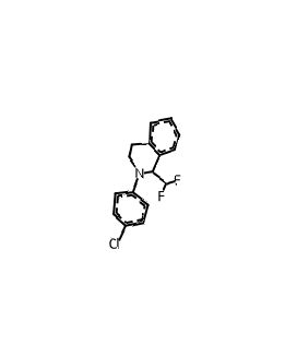 FC(F)C1c2ccccc2CCN1c1ccc(Cl)cc1